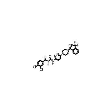 O=C(NC(=O)c1ccc(Cl)c(Cl)c1)Nc1ccc(N2CCN(C(=O)c3ccccc3C(F)(F)F)CC2)nn1